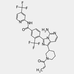 C=CC(=O)N1CCCC(c2nc(-c3ccc(C(=O)Nc4cc(C(F)(F)F)ccn4)cc3C(F)(F)F)n3c(N)nccc23)C1